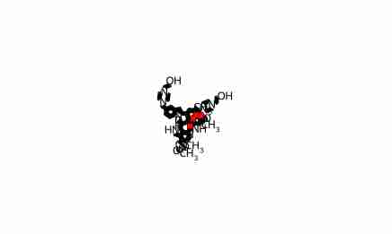 Cc1cc(-c2cc3cc(CN4CCN(CCO)CC4)ccc3[nH]2)c2c(c1OS(C)(=O)=O)CNC2C(=O)C1NCc2c(OS(C)(=O)=O)c(C)cc(-c3cc4cc(CN5CCN(CCO)CC5)ccc4[nH]3)c21